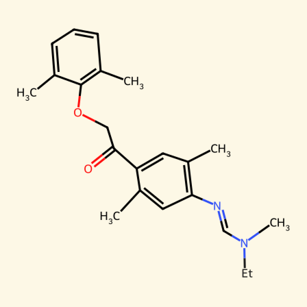 CCN(C)C=Nc1cc(C)c(C(=O)COc2c(C)cccc2C)cc1C